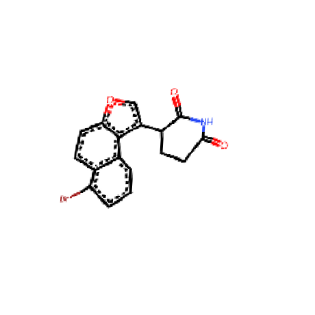 O=C1CCC(c2coc3ccc4c(Br)cccc4c23)C(=O)N1